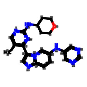 Cc1cnc(NC2CCOCC2)nc1-c1cnc2ccc(Nc3cncnc3)cn12